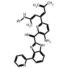 C=C(C)/C=C(\C=C(/C)NC(C)C)c1ccc(N)c(C(=N)c2nc3c(-c4ccccn4)cccc3[nH]2)n1